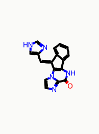 O=c1[nH]c2c3ccccc3c(=Cc3c[nH]cn3)c2n2ccnc12